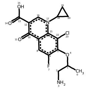 CC(CN)Oc1c(F)cc2c(=O)c(C(=O)O)cn(C3CC3)c2c1Cl